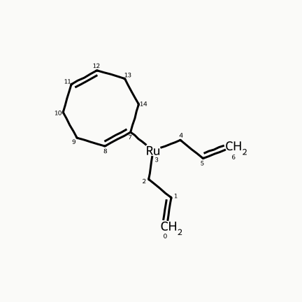 C=C[CH2][Ru]([CH2]C=C)[C]1=CCCC=CCC1